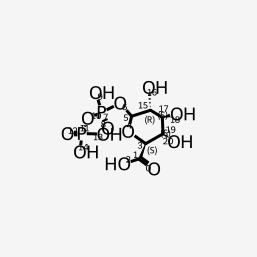 O=C(O)[C@H]1OC(OP(=O)(O)OP(=O)(O)O)[C@H](O)[C@@H](O)[C@@H]1O